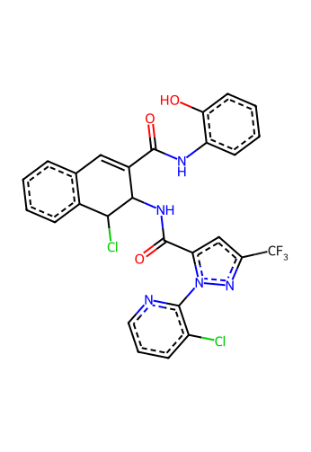 O=C(Nc1ccccc1O)C1=Cc2ccccc2C(Cl)C1NC(=O)c1cc(C(F)(F)F)nn1-c1ncccc1Cl